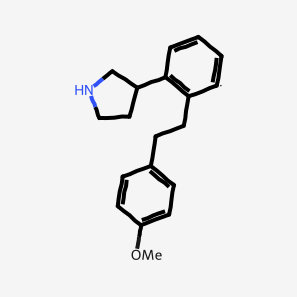 COc1ccc(CCc2[c]cccc2C2CCNC2)cc1